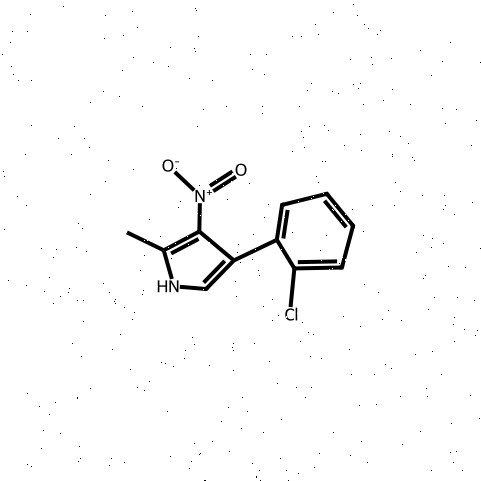 Cc1[nH]cc(-c2ccccc2Cl)c1[N+](=O)[O-]